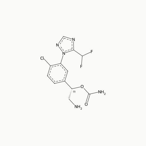 NC[C@@H](OC(N)=O)c1ccc(Cl)c(-n2ncnc2C(F)F)c1